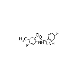 Cc1cc(Cl)c(NC(=O)c2c[nH]c3cc(F)ccc23)cc1F